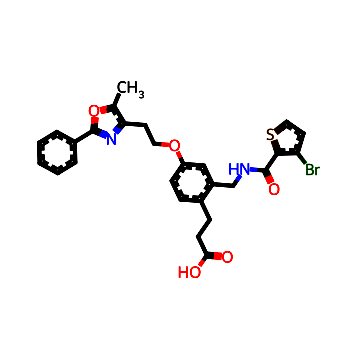 Cc1oc(-c2ccccc2)nc1CCOc1ccc(CCC(=O)O)c(CNC(=O)c2sccc2Br)c1